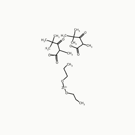 CC(C(=O)[O-])C(=O)C(C)(C)C.CC(C(=O)[O-])C(=O)C(C)(C)C.CCC[O][Zr+2][O]CCC